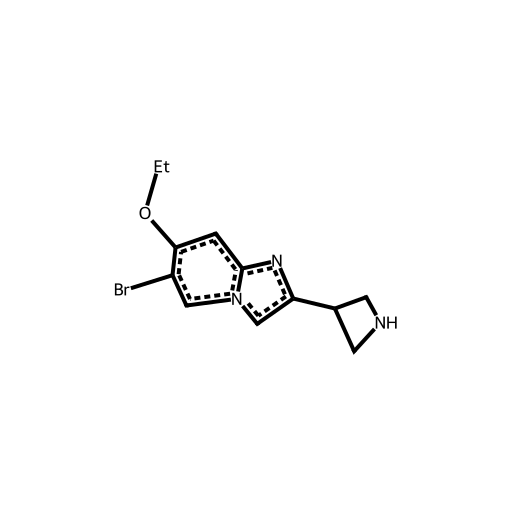 CCOc1cc2nc(C3CNC3)cn2cc1Br